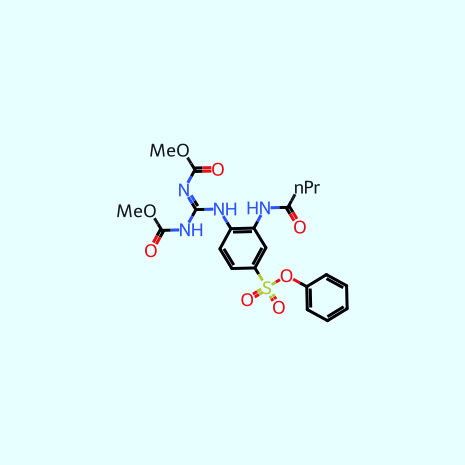 CCCC(=O)Nc1cc(S(=O)(=O)Oc2ccccc2)ccc1NC(=NC(=O)OC)NC(=O)OC